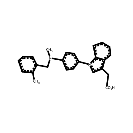 Cc1ccccc1CN(C)c1ccc(-n2cc(CC(=O)O)c3ccccc32)cc1